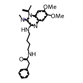 C=C(C)n1/c(=N\C)c(NCCCCNC(=O)Cc2ccccc2)nc2cc(OC)c(OC)cc21